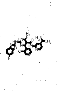 C=C(N)c1ccnc(NC(=O)C2=C(C)NC(Nc3nc4ccc(F)cc4o3)=NC2c2ccccc2Cl)c1